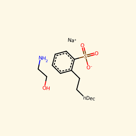 CCCCCCCCCCCCc1ccccc1S(=O)(=O)[O-].NCCO.[Na+]